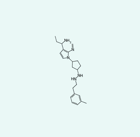 C=Nc1c(C(N)CC)ccn1C1CCC(NNCCc2cccc(C)c2)C1